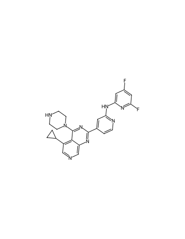 Fc1cc(F)nc(Nc2cc(-c3nc(N4CCNCC4)c4c(C5CC5)cncc4n3)ccn2)c1